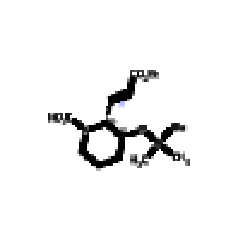 CCOC(=O)/C=C/[C@@H]1[C@@H](O[Si](C)(C)C(C)(C)C)CCCN1C(=O)O